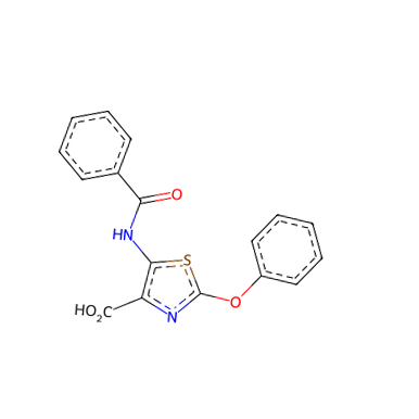 O=C(Nc1sc(Oc2ccccc2)nc1C(=O)O)c1ccccc1